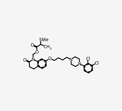 CSC(C)C(=O)OCN1C(=O)CCc2ccc(OCCCCN3CCN(c4cccc(Cl)c4Cl)CC3)cc21